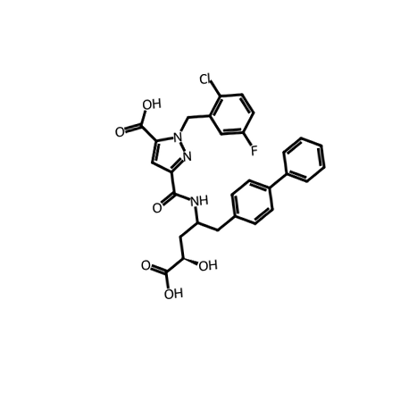 O=C(NC(Cc1ccc(-c2ccccc2)cc1)C[C@@H](O)C(=O)O)c1cc(C(=O)O)n(Cc2cc(F)ccc2Cl)n1